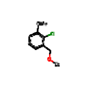 CCOCc1cccc(OC)c1Cl